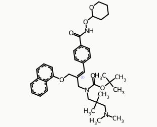 CN(C)CC(C)(C)CN(C/C(=C/c1ccc(C(=O)NOC2CCCCO2)cc1)COc1cccc2ccccc12)C(=O)OC(C)(C)C